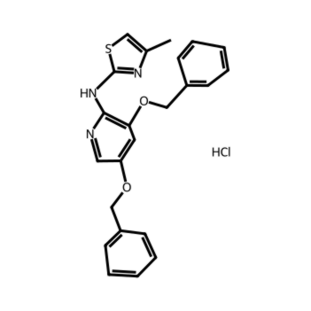 Cc1csc(Nc2ncc(OCc3ccccc3)cc2OCc2ccccc2)n1.Cl